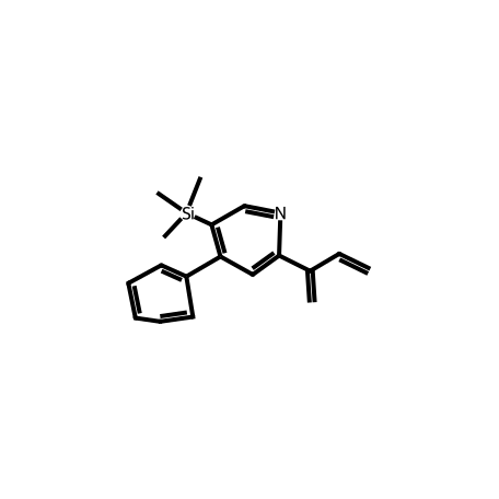 C=CC(=C)c1cc(-c2ccccc2)c([Si](C)(C)C)cn1